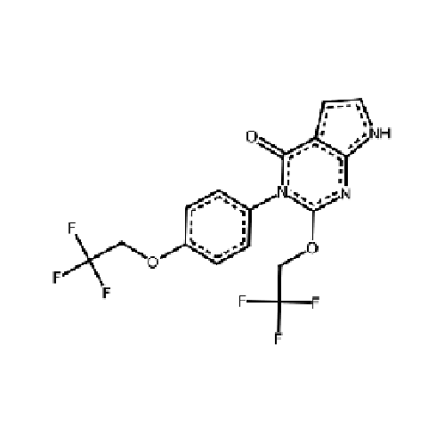 O=c1c2cc[nH]c2nc(OCC(F)(F)F)n1-c1ccc(OCC(F)(F)F)cc1